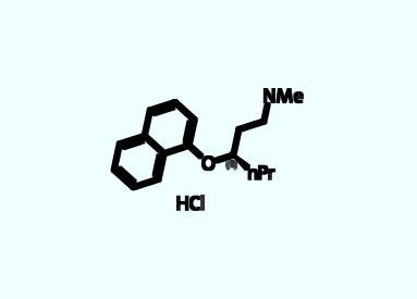 CCC[C@H](CCNC)Oc1cccc2ccccc12.Cl